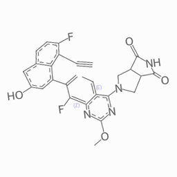 C#Cc1c(F)ccc2cc(O)cc(C(=C)/C(F)=c3/nc(OC)nc(N4CC5C(=O)NC(=O)C5C4)/c3=C/C)c12